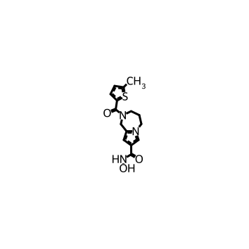 Cc1ccc(C(=O)N2CCCn3cc(C(=O)NO)cc3C2)s1